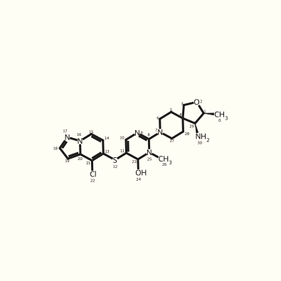 C[C@@H]1OCC2(CCN(C3=NC=C(Sc4ccn5nccc5c4Cl)C(O)N3C)CC2)[C@@H]1N